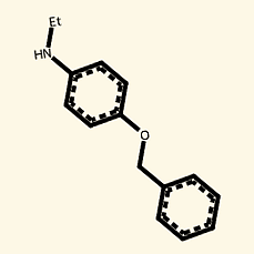 CCNc1ccc(OCc2ccccc2)cc1